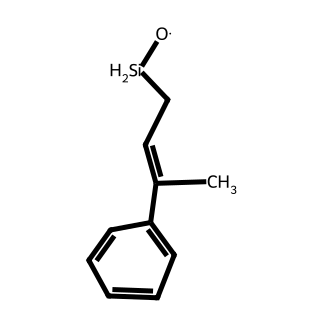 CC(=CC[SiH2][O])c1ccccc1